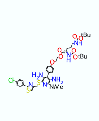 CNc1nc(SCc2csc(-c3ccc(Cl)cc3)n2)c(N)c(-c2ccc(OCCOC(=O)[C@@H](CCCNC(=O)OC(C)(C)C)NC(=O)OC(C)(C)C)cc2)c1N